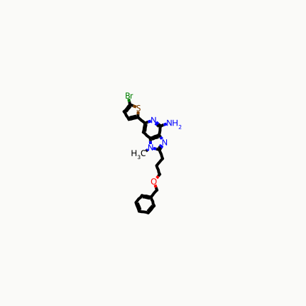 Cn1c(CCCOCc2ccccc2)nc2c(N)nc(-c3ccc(Br)s3)cc21